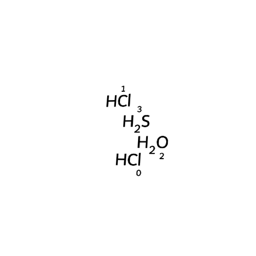 Cl.Cl.O.S